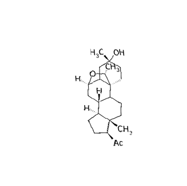 CC(=O)[C@H]1CC[C@H]2[C@@H]3C[C@H]4O[C@H](C)[C@@]5(CC[C@@](C)(O)CC45)C3CC[C@]12C